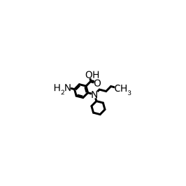 CCCCN(c1ccc(N)cc1C(=O)O)C1CCCCC1